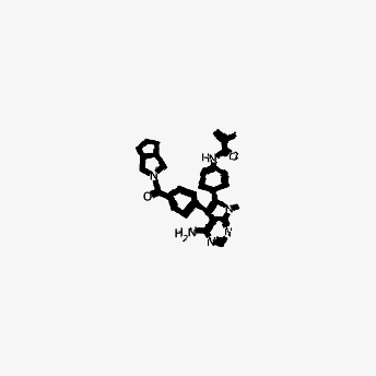 C=C(C)C(=O)Nc1ccc(-c2c(-c3ccc(C(=O)N4CC5CCCC5C4)cc3)c3c(N)ncnc3n2C)cc1